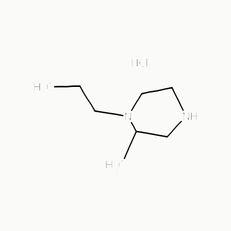 CCCN1CCNCC1C.Cl